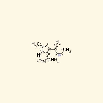 C=C(/C=C\C)c1cn(C)c2ncnc(N)c12